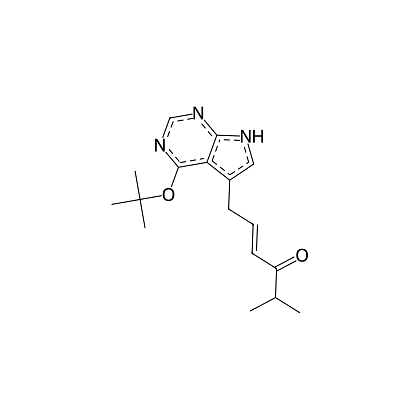 CC(C)C(=O)/C=C/Cc1c[nH]c2ncnc(OC(C)(C)C)c12